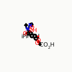 CC(C)C1=C2[C@H]3CCC4[C@@]5(C)CC[C@H](OC(=O)CC(C)(C)C(=O)O)C(C)(C)[C@@H]5CC[C@@]4(C)[C@]3(C)CC[C@@]2(C(O)CN(CCN2CCCC2=O)CC2CCC2)CC1=O